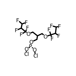 FC(F)C(F)C(F)(F)OCC(COP(OCl)OCl)COC(F)(F)C(F)C(F)F